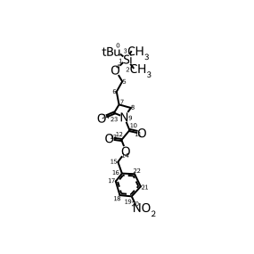 CC(C)(C)[Si](C)(C)OCCC1CN(C(=O)C(=O)OCc2ccc([N+](=O)[O-])cc2)C1=O